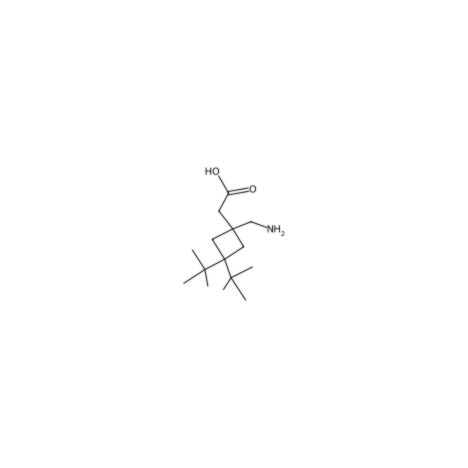 CC(C)(C)C1(C(C)(C)C)CC(CN)(CC(=O)O)C1